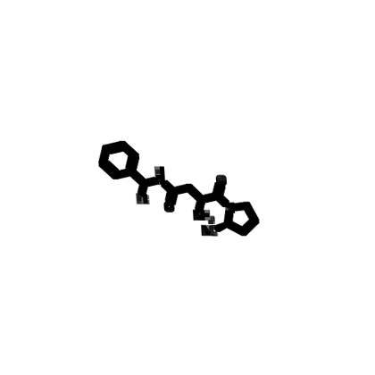 CCC(NC(=O)CC(N)C(=O)N1CCC[C@H]1C#N)c1ccccc1